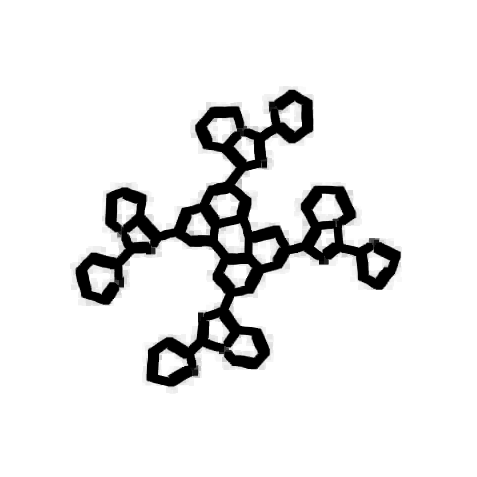 c1ccc(-c2nc(-c3cc4cc(-c5nc(-c6ccccn6)n6ccccc56)cc5c6cc(-c7nc(-c8ccccn8)n8ccccc78)cc7cc(-c8nc(-c9ccccn9)n9ccccc89)cc(c(c3)c45)c76)c3ccccn23)nc1